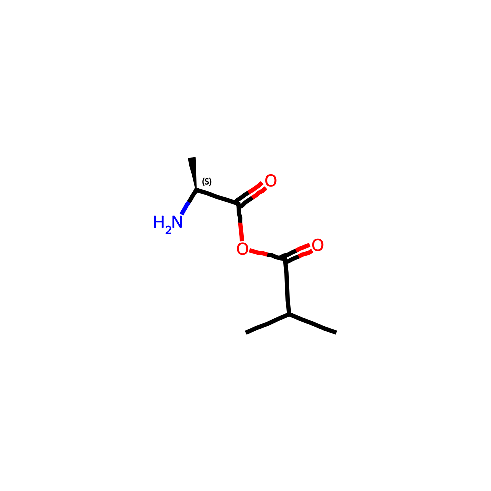 CC(C)C(=O)OC(=O)[C@H](C)N